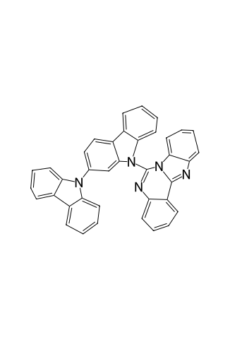 c1ccc2c(c1)nc(-n1c3ccccc3c3ccc(-n4c5ccccc5c5ccccc54)cc31)n1c3ccccc3nc21